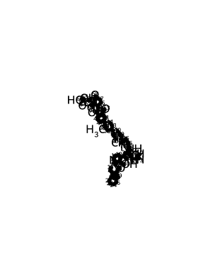 [2H]C([2H])([2H])Oc1ncc(-c2ccnc(N3CCc4c(sc5c4CCCC5)C3=O)c2CO)cc1Nc1ccc(N2CCN(C3CCN(c4ccc5c(c4)C(=O)N(C4CCC(=O)N(COP(=O)(O)O)C4=O)C5=O)[C@@H](C)C3)C[C@@H]2C)cn1